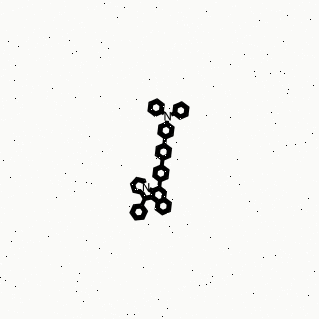 c1ccc(-c2c3c4ccccc4cc(-c4ccc(-c5ccc(-c6ccc(N(c7ccccc7)c7ccccc7)cc6)cc5)cc4)c3n3ccccc23)cc1